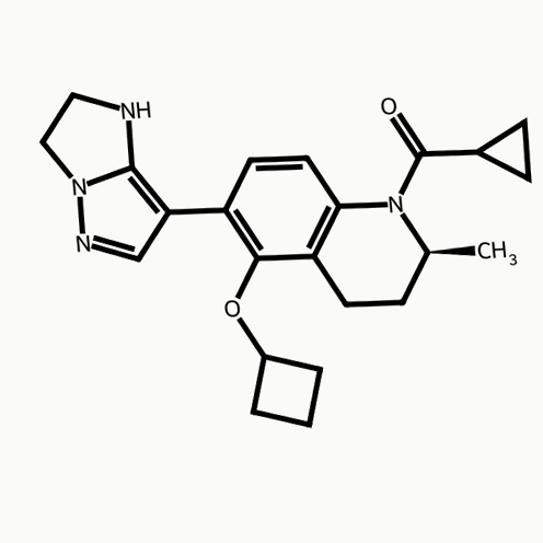 C[C@H]1CCc2c(ccc(-c3cnn4c3NCC4)c2OC2CCC2)N1C(=O)C1CC1